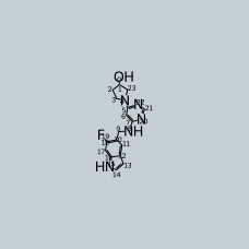 OC1CCN(c2cc(NCc3cc4cc[nH]c4cc3F)ncn2)C1